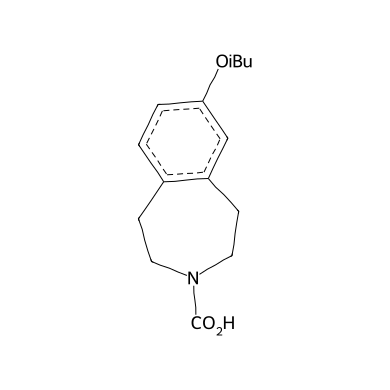 CC(C)COc1ccc2c(c1)CCN(C(=O)O)CC2